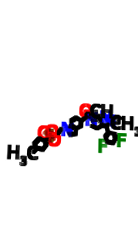 Cc1ccc(S(=O)(=O)OCCn2ccc3cc(C(=O)N4CCc5c(nn(C)c5-c5cc(F)cc(F)c5)[C@@H]4C)ccc32)cc1